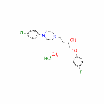 Cl.O.OC(CCN1CCN(c2ccc(Cl)cc2)CC1)COc1ccc(F)cc1